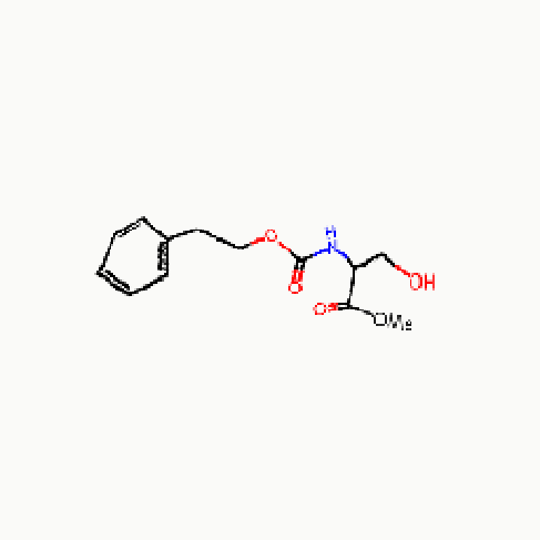 COC(=O)C(CO)NC(=O)OCCc1ccccc1